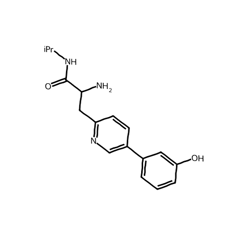 CC(C)NC(=O)C(N)Cc1ccc(-c2cccc(O)c2)cn1